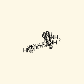 CCCCOc1nc(N)c2[nH]c(=O)n(CCCCCCN3CCNCC3)c2n1